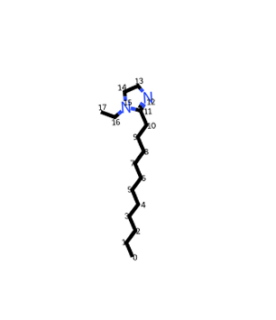 CCCCCCCCCCCC1=NCCN1CC